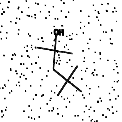 [CH2]C(C)(O)CC(C)(C)C